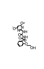 COc1cc(OC)nc(NC(=O)NS(=O)(=O)c2ccccc2OCCO)n1